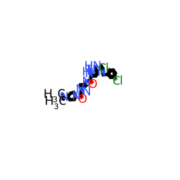 CN(C)C1CCN(C(=O)c2ncc(NC(=O)c3cc4c(nn3)NCCN4Cc3cc(Cl)ccc3Cl)cn2)CC1